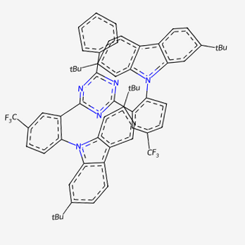 CC(C)(C)c1ccc2c3ccc(C(C)(C)C)cc3n(-c3ccc(C(F)(F)F)cc3-c3nc(-c4ccccc4)nc(-c4cc(C(F)(F)F)ccc4-n4c5cc(C(C)(C)C)ccc5c5ccc(C(C)(C)C)cc54)n3)c2c1